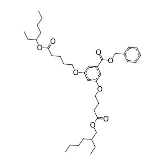 CCCCC(CC)COC(=O)CCCOc1cc(OCCCCC(=O)OC(CC)CCCC)cc(C(=O)OCc2ccccc2)c1